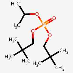 CC(C)OP(=O)(OCC(C)(C)C)OCC(C)(C)C